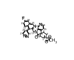 CS(=O)(=O)N1CCC2(CC1)C(=O)N(Cc1ncc3cc(F)ccc3c1-c1ccnnc1)c1cnccc12